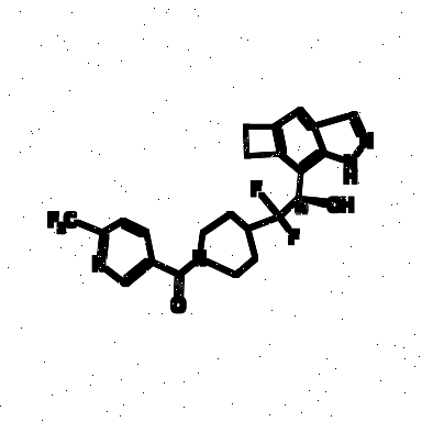 O=C(c1ccc(C(F)(F)F)nc1)N1CCC(C(F)(F)[C@H](O)c2c3c(cc4cn[nH]c24)CC3)CC1